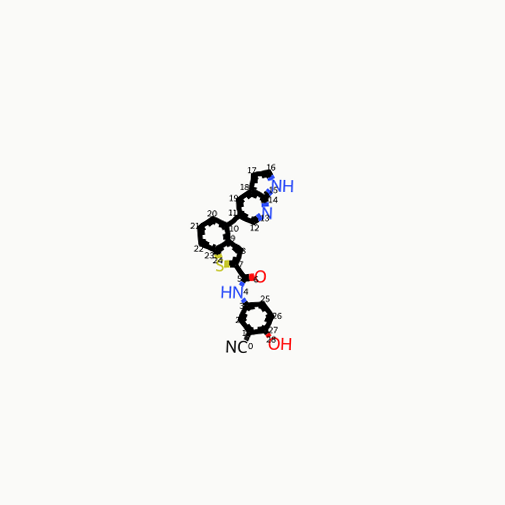 N#Cc1cc(NC(=O)c2cc3c(-c4cnc5[nH]ccc5c4)cccc3s2)ccc1O